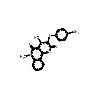 Cc1ccc(Sc2c(O)c3c(=O)n(C)c4ccccc4c3oc2=O)cc1